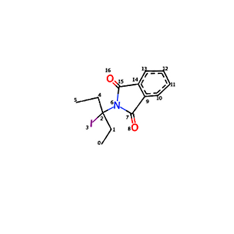 CCC(I)(CC)N1C(=O)c2ccccc2C1=O